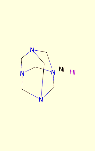 C1N2CN3CN1CN(C2)C3.I.[Ni]